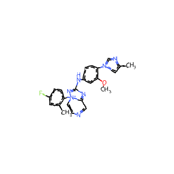 COc1cc(NC2=N[N+]3(c4ccc(F)cc4C)C=CN=CC3=N2)ccc1-n1cnc(C)c1